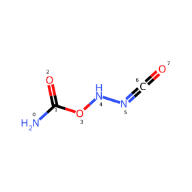 NC(=O)ONN=C=O